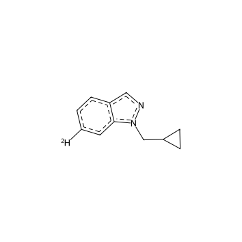 [2H]c1ccc2cnn(CC3CC3)c2c1